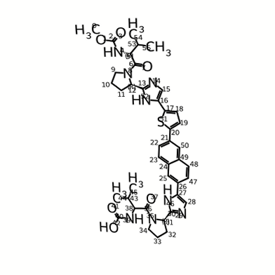 COC(=O)N[C@@H](C(=O)N1CCC[C@@H]1c1ncc(-c2ccc(-c3ccc4cc(-c5cnc([C@H]6CCCN6C(=O)C(NC(=O)O)C(C)C)[nH]5)ccc4c3)s2)[nH]1)C(C)C